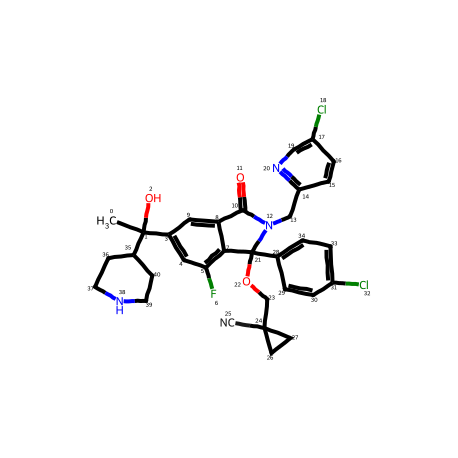 CC(O)(c1cc(F)c2c(c1)C(=O)N(Cc1ccc(Cl)cn1)C2(OCC1(C#N)CC1)c1ccc(Cl)cc1)C1CCNCC1